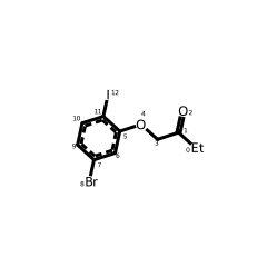 CCC(=O)COc1cc(Br)ccc1I